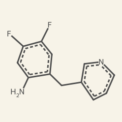 Nc1cc(F)c(F)cc1Cc1cccnc1